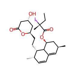 CC[C@@](C)(I)C(=O)O[C@H]1C[C@@H](C)C=C2C=C[C@H](C)[C@H](CC[C@@H]3C[C@@H](O)CC(=O)O3)C21